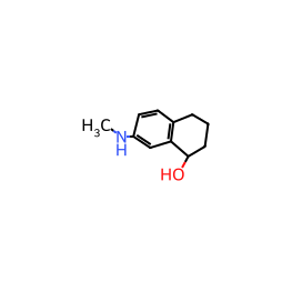 CNc1ccc2c(c1)C(O)CCC2